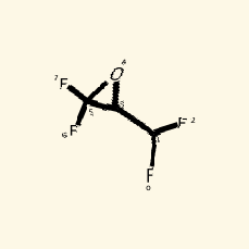 FC(F)C1OC1(F)F